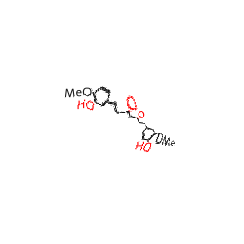 COc1ccc(CCC(=O)CC(=O)CCc2ccc(O)c(OC)c2)cc1O